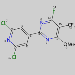 COc1nc(-c2cc(Cl)nc(Cl)c2)nc(F)c1C(F)(F)F